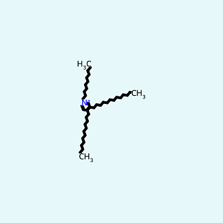 CCCCCCCCCCCCCc1cc[n+](CCCCCCCCCCC)cc1CCCCCCCCCCCCC